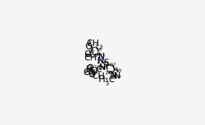 COS(=O)(=O)[O-].COc1ccc(/N=N/c2sc3cc4cnn(C)c4cc3[n+]2C)cc1OC